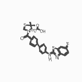 CC1(C)SCN(C(=O)c2ccc(-c3ccc(Nc4nc5ccc(F)cc5s4)cc3)cc2)[C@@H]1OC(=O)O